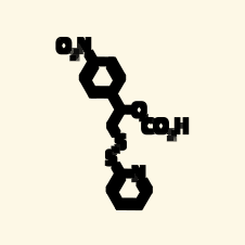 O=C(O)OC(CSSc1ccccn1)c1ccc([N+](=O)[O-])cc1